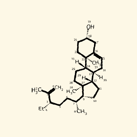 C=C(C)[C@@H](CC)CC[C@@H](C)[C@H]1CC[C@H]2[C@@H]3CC=C4C[C@@H](O)CC[C@]4(C)[C@H]3CC[C@]12C